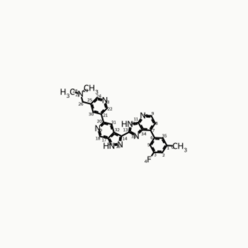 Cc1cc(F)cc(-c2ccnc3[nH]c(-c4n[nH]c5cnc(-c6cncc(CN(C)C)c6)cc45)nc23)c1